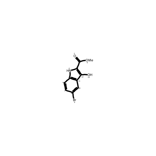 COC(=O)c1[nH]c2ccc(Br)cc2c1O